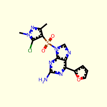 Cc1nn(C)c(Cl)c1S(=O)(=O)n1cnc2c(-c3ccco3)nc(N)nc21